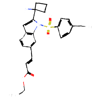 CCOC(=O)C=Cc1ccc2cc(C3(N)CCC3)n(S(=O)(=O)c3ccc(C)cc3)c2c1